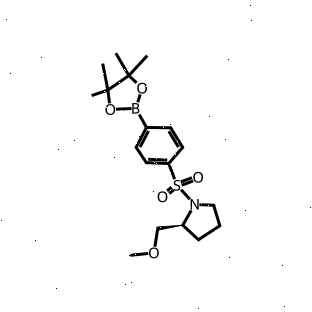 COC[C@@H]1CCCN1S(=O)(=O)c1ccc(B2OC(C)(C)C(C)(C)O2)cc1